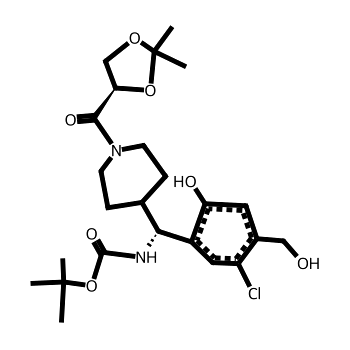 CC(C)(C)OC(=O)N[C@@H](c1cc(Cl)c(CO)cc1O)C1CCN(C(=O)[C@H]2COC(C)(C)O2)CC1